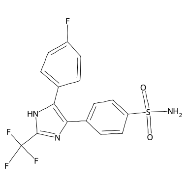 NS(=O)(=O)c1ccc(-c2nc(C(F)(F)F)[nH]c2-c2ccc(F)cc2)cc1